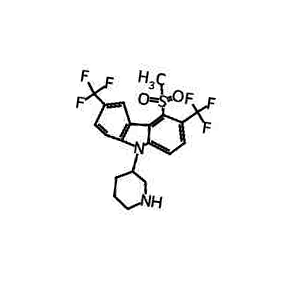 CS(=O)(=O)c1c(C(F)(F)F)ccc2c1c1cc(C(F)(F)F)ccc1n2C1CCCNC1